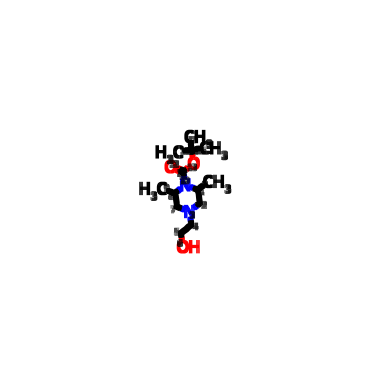 CC1CN(CCO)CC(C)N1C(=O)OC(C)(C)C